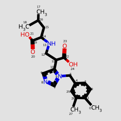 Cc1ccc(Cn2cncc2C(CNC(CC(C)C)C(=O)O)C(=O)O)cc1C